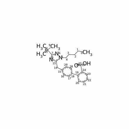 CCCCCn1nc(C(C)(C)C)nc1Cc1ccc(-c2ccccc2C(=O)O)cc1